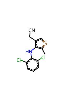 Cc1scc(CC#N)c1Nc1c(Cl)cccc1Cl